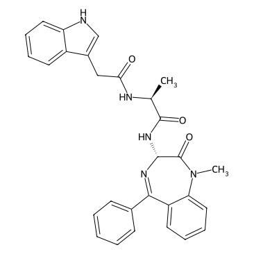 C[C@H](NC(=O)Cc1c[nH]c2ccccc12)C(=O)N[C@H]1N=C(c2ccccc2)c2ccccc2N(C)C1=O